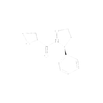 O=C(C1CCO1)N1OCC[C@H]1c1ccccc1